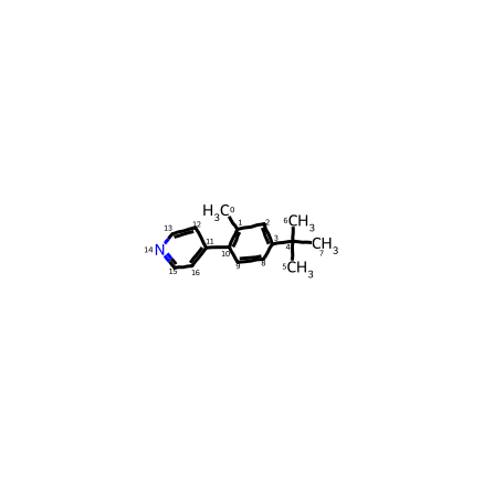 Cc1cc(C(C)(C)C)ccc1-c1ccncc1